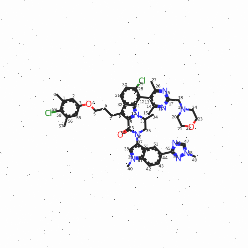 Cc1cc(OCCCc2c3n(c4c(-c5c(C)nc(CN6CCOCC6)nc5C)c(Cl)ccc24)C(C)CN(c2cn(C)c4ccc(-c5ncn(C)n5)cc24)C3=O)cc(C)c1Cl